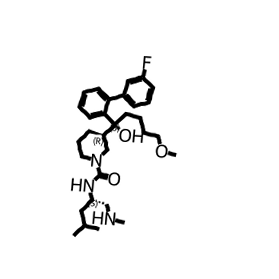 CNC[C@H](CC(C)C)NC(=O)N1CCC[C@@H]([C@@](O)(CCCCOC)c2ccccc2-c2cccc(F)c2)C1